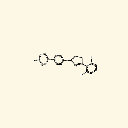 Cc1ccc(-c2ccc(C3CCC(c4c(F)cccc4F)=N3)cc2)nn1